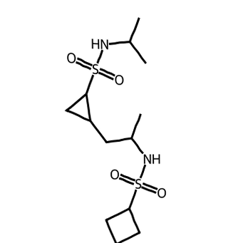 CC(C)NS(=O)(=O)C1CC1CC(C)NS(=O)(=O)C1CCC1